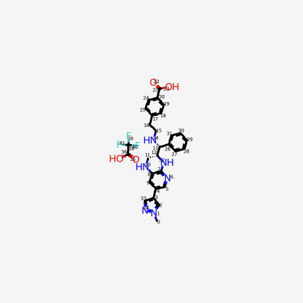 Cn1cc(-c2cnc3c(c2)NC[C@H]([C@H](NCCc2ccc(C(=O)O)cc2)c2ccccc2)N3)cn1.O=C(O)C(F)(F)F